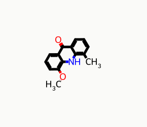 COc1cccc2c(=O)c3cccc(C)c3[nH]c12